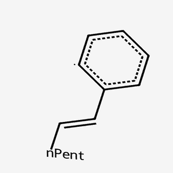 CCCCCC=Cc1[c]cccc1